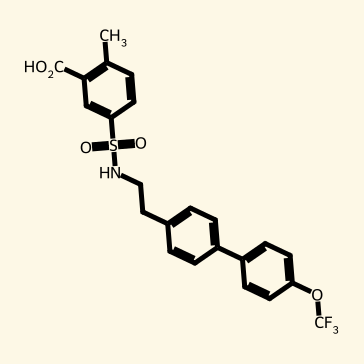 Cc1ccc(S(=O)(=O)NCCc2ccc(-c3ccc(OC(F)(F)F)cc3)cc2)cc1C(=O)O